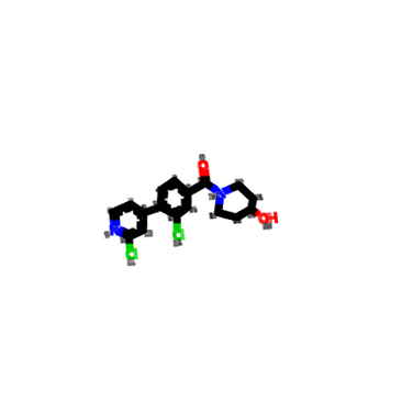 O=C(c1ccc(-c2ccnc(Cl)c2)c(Cl)c1)N1CCC(O)CC1